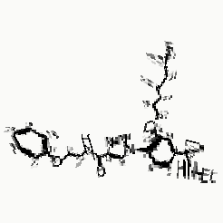 CCNC(=O)c1ccc(-n2cc(C(=O)NCCOc3ccccc3)nn2)c(OCCCCCCF)c1